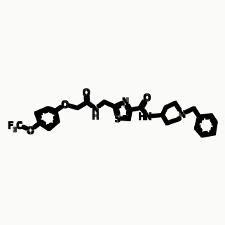 O=C(COc1ccc(OC(F)(F)F)cc1)NCc1nc(C(=O)NC2CCN(Cc3ccccc3)CC2)cs1